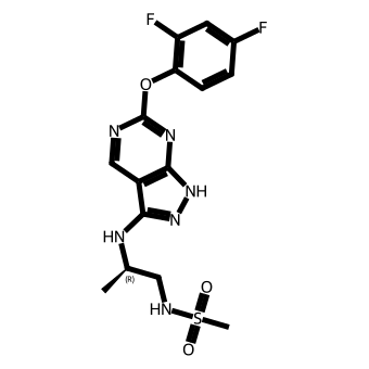 C[C@H](CNS(C)(=O)=O)Nc1n[nH]c2nc(Oc3ccc(F)cc3F)ncc12